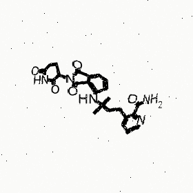 CC(C)(CCc1cccnc1C(N)=O)Nc1cccc2c1C(=O)N(C1CCC(=O)NC1=O)C2=O